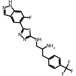 NC(CNc1nnc(-c2cc3cn[nH]c3cc2F)s1)Cc1ccc(C(F)(F)F)cc1